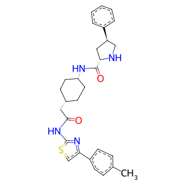 Cc1ccc(-c2csc(NC(=O)C[C@H]3CC[C@@H](NC(=O)[C@@H]4C[C@@H](c5ccccc5)CN4)CC3)n2)cc1